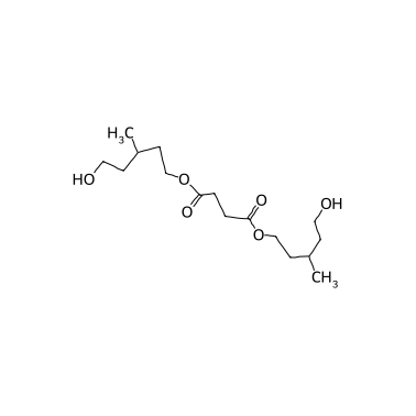 CC(CCO)CCOC(=O)CCC(=O)OCCC(C)CCO